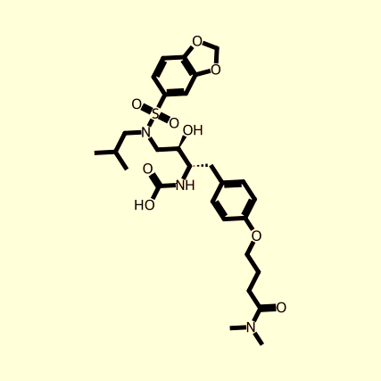 CC(C)CN(C[C@@H](O)[C@H](Cc1ccc(OCCCC(=O)N(C)C)cc1)NC(=O)O)S(=O)(=O)c1ccc2c(c1)OCO2